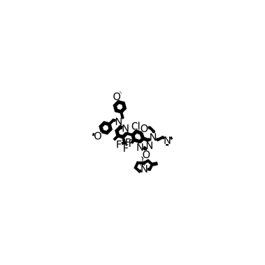 C=C1CN2CCC[C@@]2(COc2nc3c4c(c(Cl)c(-c5nc(N(Cc6ccc(OC)cc6)Cc6ccc(OC)cc6)cc(C)c5C(F)(F)F)c(F)c4n2)OCCN3CCN(C)C)C1